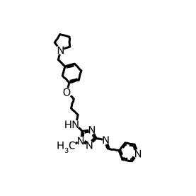 Cn1nc(N=Cc2ccncc2)nc1NCCCOC1=CCC=C(CN2CCCC2)C1